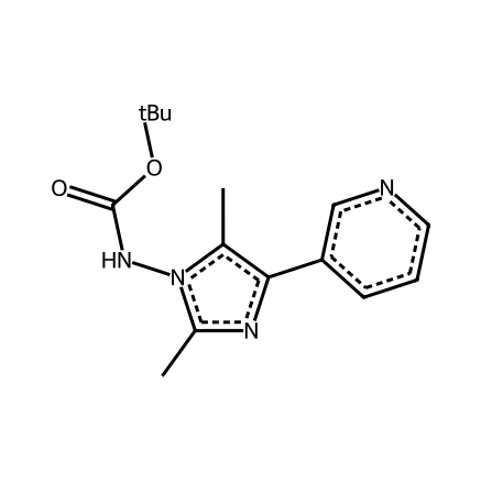 Cc1nc(-c2cccnc2)c(C)n1NC(=O)OC(C)(C)C